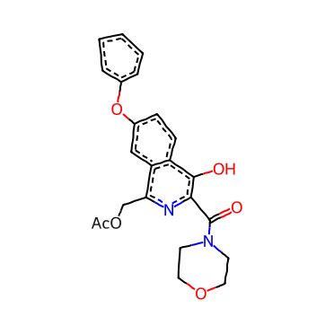 CC(=O)OCc1nc(C(=O)N2CCOCC2)c(O)c2ccc(Oc3ccccc3)cc12